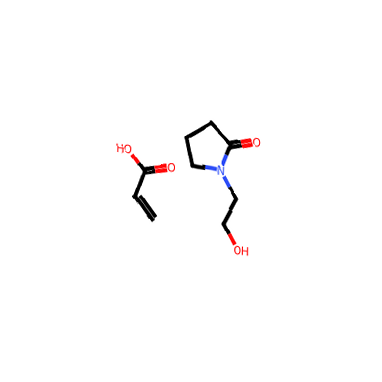 C=CC(=O)O.O=C1CCCN1CCO